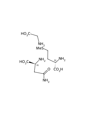 CSCC[C@H](N)C(=O)O.NC(=O)C[C@H](N)C(=O)O.NCC(=O)O